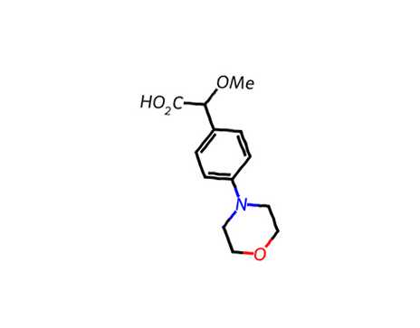 COC(C(=O)O)c1ccc(N2CCOCC2)cc1